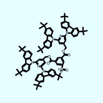 CC(C)(C)c1ccc2c(c1)c1cc(C(C)(C)C)ccc1n2-c1cc(COC(=O)c2cc(C(=O)OCc3cc(-n4c5ccc(C(C)(C)C)cc5c5cc(C(C)(C)C)ccc54)nc(-n4c5ccc(C(C)(C)C)cc5c5cc(C(C)(C)C)ccc54)c3)cc([SH](=O)=O)c2)cc(-n2c3ccc(C(C)(C)C)cc3c3cc(C(C)(C)C)ccc32)n1